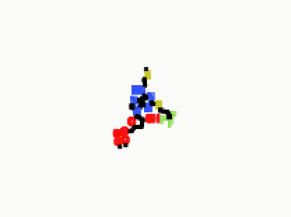 COP(=O)(OC)OC[C@@H]1C[C@@H](O)[C@H](n2cnc3c(NCCSC)nc(SCCC(F)(F)F)nc32)O1